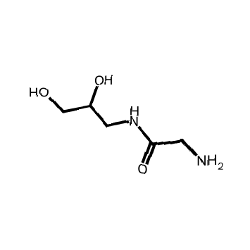 NCC(=O)NCC(O)CO